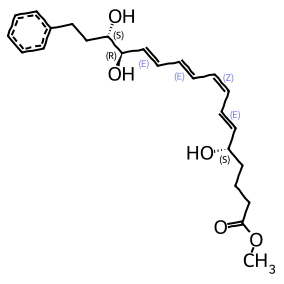 COC(=O)CCC[C@H](O)/C=C/C=C\C=C\C=C\[C@@H](O)[C@@H](O)CCc1ccccc1